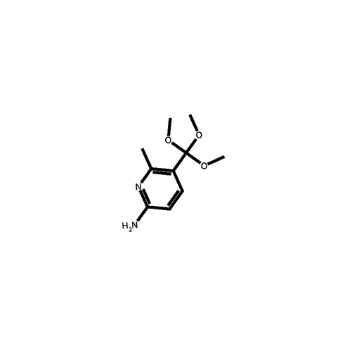 COC(OC)(OC)c1ccc(N)nc1C